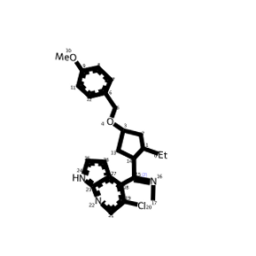 CCC1CC(OCc2ccc(OC)cc2)CC1/C(=N/C)c1c(Cl)cnc2[nH]ccc12